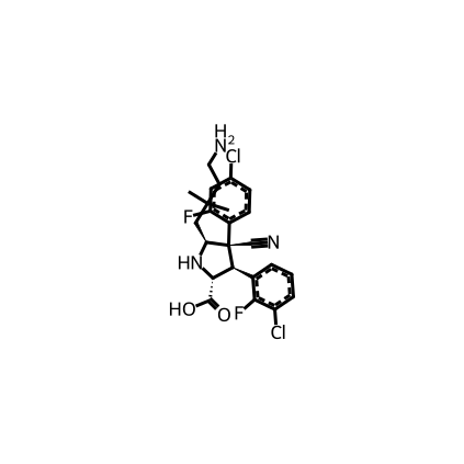 CC(C)(CCN)C[C@@H]1N[C@@H](C(=O)O)[C@H](c2cccc(Cl)c2F)[C@@]1(C#N)c1ccc(Cl)cc1F